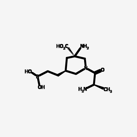 C[C@@H](N)C(=O)N1C[C@@H](CCB(O)O)C[C@](N)(C(=O)O)C1